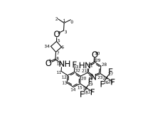 CC(C)COC1CC(C(=O)NCc2ccc(C(F)(F)F)c(-c3nc(C(F)(F)F)cc(=O)[nH]3)c2F)C1